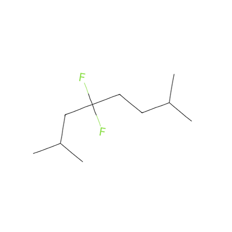 CC(C)CCC(F)(F)CC(C)C